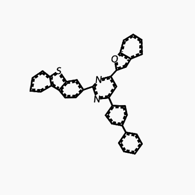 c1ccc(-c2ccc(-c3cc(-c4cc5ccccc5o4)nc(-c4ccc5c(c4)sc4ccccc45)n3)cc2)cc1